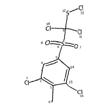 Cc1c(Cl)cc(S(=O)(=O)C(Cl)(Cl)SCl)cc1Cl